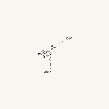 CCCCCCCCCCCCCCCCCC(=O)OC[C@H](COP(=O)(O)O)OC(=O)CCCCCCCCCCCCCCCCC